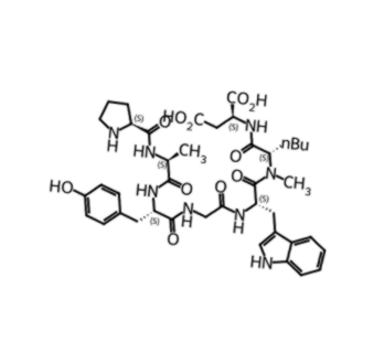 CCCC[C@@H](C(=O)N[C@@H](CC(=O)O)C(=O)O)N(C)C(=O)[C@H](Cc1c[nH]c2ccccc12)NC(=O)CNC(=O)[C@H](Cc1ccc(O)cc1)NC(=O)[C@H](C)NC(=O)[C@@H]1CCCN1